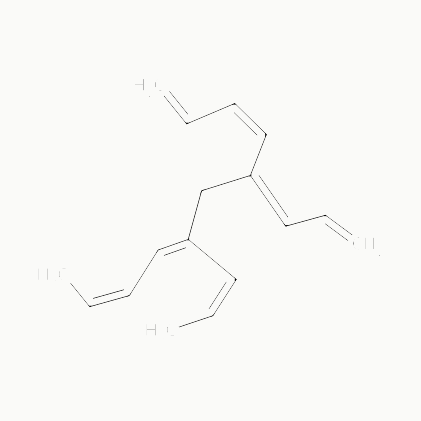 C=C/C=C\C(=C/C=C)CC(/C=C\C)=C/C=C\C